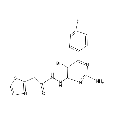 Nc1nc(NNC(=O)Cc2nccs2)c(Br)c(-c2ccc(F)cc2)n1